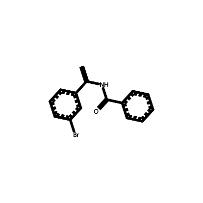 C=C(NC(=O)c1ccccc1)c1cccc(Br)c1